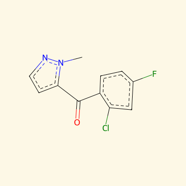 Cn1nccc1C(=O)c1ccc(F)cc1Cl